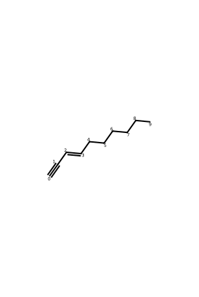 C#C/C=C/CCCCCC